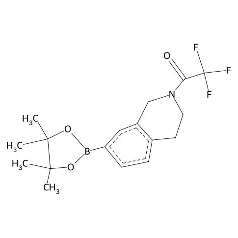 CC1(C)OB(c2ccc3c(c2)CN(C(=O)C(F)(F)F)CC3)OC1(C)C